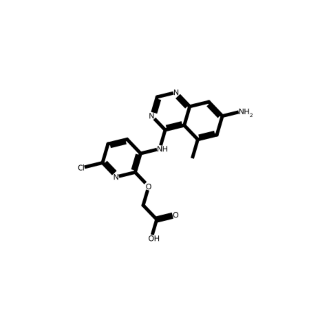 Cc1cc(N)cc2ncnc(Nc3ccc(Cl)nc3OCC(=O)O)c12